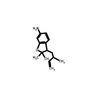 C=CC(C)CC1c2ccc(N)cc2OC1(C)C